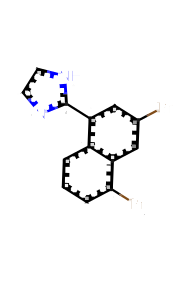 Brc1cc(-c2ncc[nH]2)c2cccc(Br)c2c1